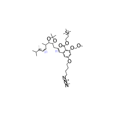 COCOc1cc(OCCCCN=[N+]=[N-])cc(/C=C/CC2OC(C)(C)OC2C(C)/C=C\[C@@H](C)C(C)C)c1C(=O)OCC[Si](C)(C)C